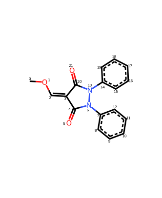 COC=C1C(=O)N(c2ccccc2)N(c2ccccc2)C1=O